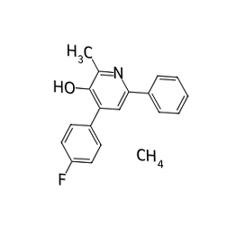 C.Cc1nc(-c2ccccc2)cc(-c2ccc(F)cc2)c1O